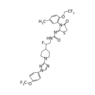 Cc1ccc(OCC(F)(F)F)c(N2C(=O)CS/C2=N\C(=O)NCC(F)C2CCN(c3ncn(-c4ccc(OC(F)(F)F)cc4)n3)CC2)c1